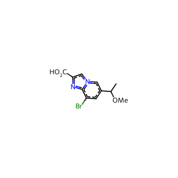 COC(C)c1cc(Br)c2nc(C(=O)O)cn2c1